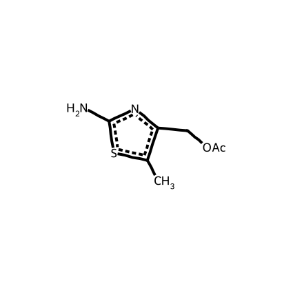 CC(=O)OCc1nc(N)sc1C